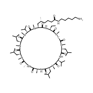 CC[C@@H]1NC(=O)[C@H](C[C@H](C)CCCC(=O)NCCCCCN)N(C)C(=O)[C@H](C(C)C)N(C)C(=O)[C@H](CC(C)C)N(C)C(=O)[C@H](CC(C)C)N(C)C(=O)[C@@H](C)NC(=O)[C@H](C)NC(=O)[C@H](CC(C)C)N(C)C(=O)[C@H](C(C)C)NC(=O)[C@H](CC(C)C)N(C)C(=O)CN(C)C1=O